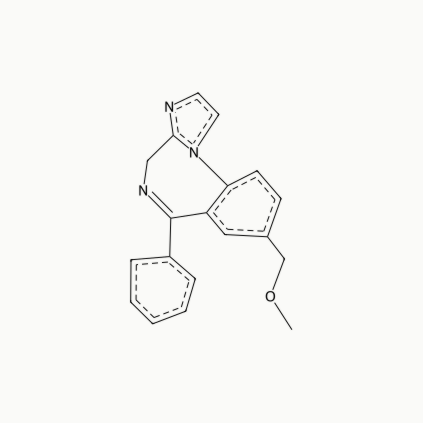 COCc1ccc2c(c1)C(c1ccccc1)=NCc1nccn1-2